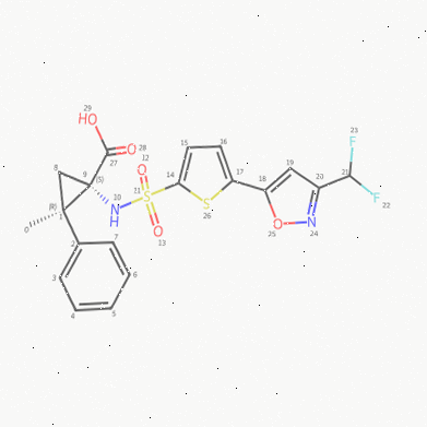 C[C@]1(c2ccccc2)C[C@@]1(NS(=O)(=O)c1ccc(-c2cc(C(F)F)no2)s1)C(=O)O